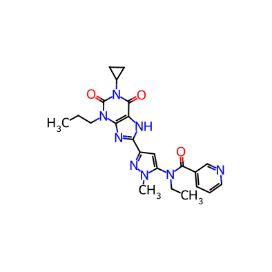 CCCn1c(=O)n(C2CC2)c(=O)c2[nH]c(-c3cc(N(CC)C(=O)c4cccnc4)n(C)n3)nc21